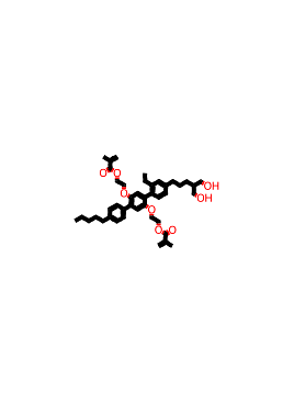 C=C(C)C(=O)OCCOc1cc(-c2ccc(CCCC(CO)CO)cc2CC)c(OCCOC(=O)C(=C)C)cc1-c1ccc(CCCCC)cc1